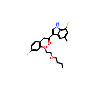 CCCCOCCOc1cc(F)ccc1CC(=O)c1c[nH]c2c(F)cc(C)cc12